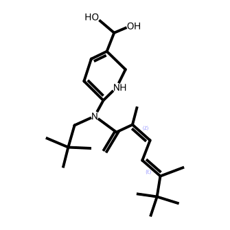 C=C(/C(C)=C\C=C(/C)C(C)(C)C)N(CC(C)(C)C)C1=CC=C(C(O)O)CN1